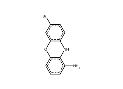 Nc1cccc2c1Nc1ccc(Br)cc1O2